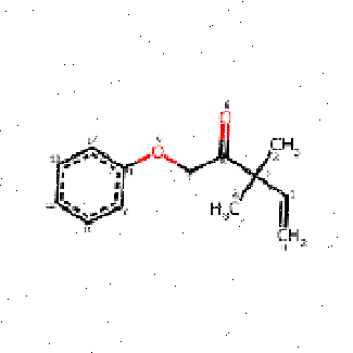 C=CC(C)(C)C(=O)COc1ccccc1